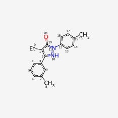 CCc1c(-c2cccc(C)c2)[nH]n(-c2ccc(C)cc2)c1=O